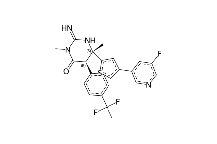 CN1C(=N)N[C@](C)(c2cc(-c3cncc(F)c3)cs2)[C@@H](c2ccc(C(C)(F)F)cc2)C1=O